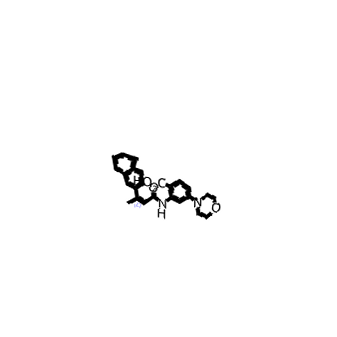 C/C(=C/C(=O)Nc1cc(N2CCOCC2)ccc1C(=O)O)c1ccc2ccccc2c1